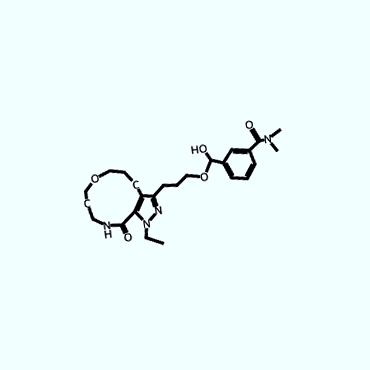 CCn1nc(CCCOC(O)c2cccc(C(=O)N(C)C)c2)c2c1C(=O)NCCCOCCC2